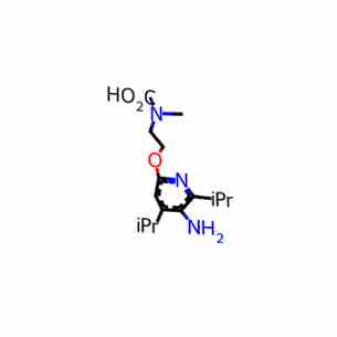 CC(C)c1cc(OCCN(C)C(=O)O)nc(C(C)C)c1N